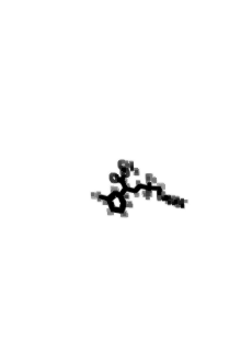 COC(=O)C(CCC(F)(F)CN=[N+]=[N-])c1cccc(I)c1